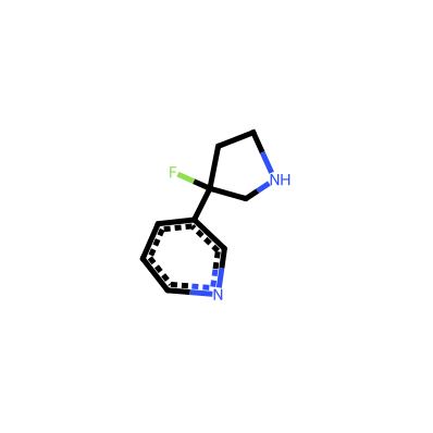 FC1(c2cccnc2)CCNC1